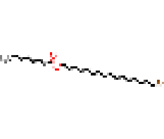 CCCCCCCC(=O)OCCCCCCCCCCCCCCCCS